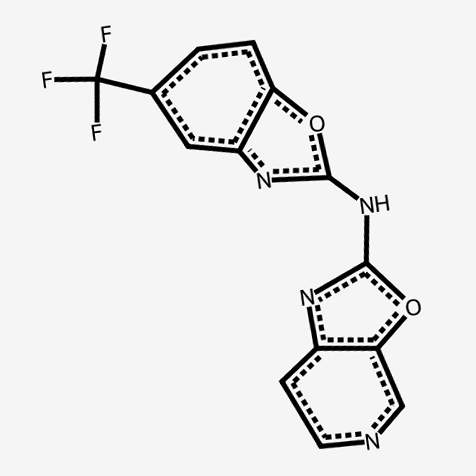 FC(F)(F)c1ccc2oc(Nc3nc4ccncc4o3)nc2c1